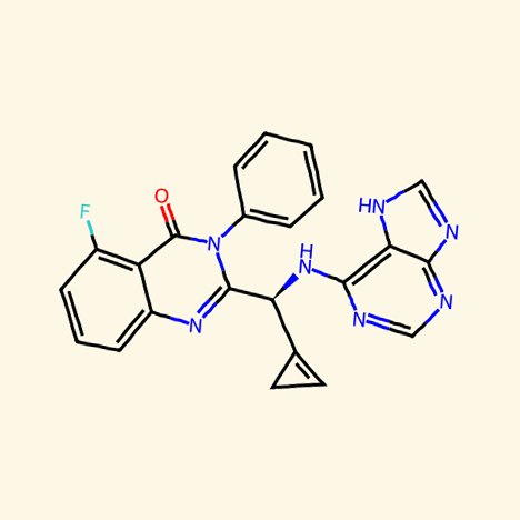 O=c1c2c(F)cccc2nc([C@@H](Nc2ncnc3nc[nH]c23)C2=CC2)n1-c1ccccc1